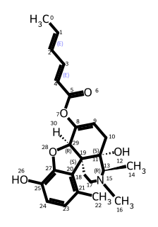 C/C=C/C=C/C(=O)OC1=CC[C@@]2(O)[C@@H](C)N(C)CC[C@@]23c2c(C)ccc(O)c2O[C@@H]13